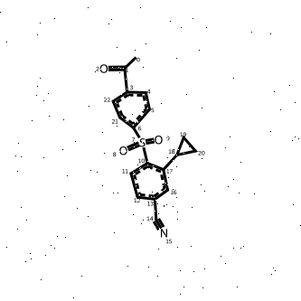 CC(=O)c1ccc(S(=O)(=O)c2ccc(C#N)cc2C2CC2)cc1